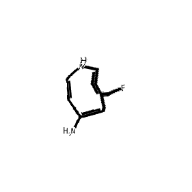 NC1=CC(F)=CNC=C1